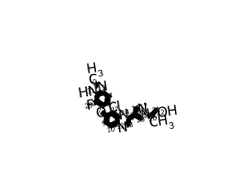 Cc1nc2ccc(Oc3ccc4ncc(-c5cnn(C(C)CO)c5)nc4c3Cl)c(F)c2[nH]1